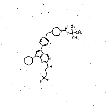 CC(C)(C)OC(=O)N1CCN(Cc2ccc(-c3cn(C4CCCCC4)c4nc(NCCC(F)(F)F)ncc34)cc2)CC1